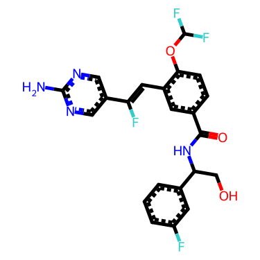 Nc1ncc(/C(F)=C/c2cc(C(=O)NC(CO)c3cccc(F)c3)ccc2OC(F)F)cn1